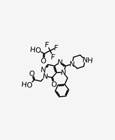 O=C(O)C(F)(F)F.O=C(O)Cn1ncc2nc(N3CCNCC3)n(Cc3ccccc3)c2c1=O